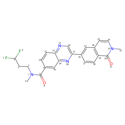 CN(CCC(F)F)C(=O)c1ccc2ncc(-c3ccc4c(=O)n(C)ccc4c3)nc2c1